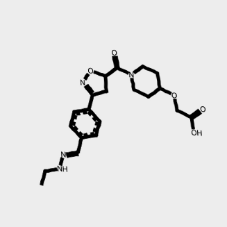 CCNN=Cc1ccc(C2=NOC(C(=O)N3CCC(OCC(=O)O)CC3)C2)cc1